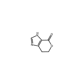 O=C1OCCc2nc[nH]c21